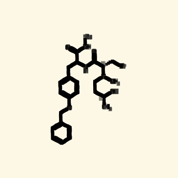 CC(C)C[C@@H](C(=O)NC(Cc1ccc(OCc2ccccc2)cc1)C(=O)NC(C)(C)C)N(C)CC[C@H](C)O